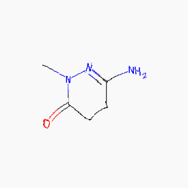 CN1N=C(N)CCC1=O